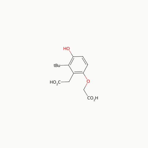 CC(C)(C)c1c(O)ccc(OCC(=O)O)c1CC(=O)O